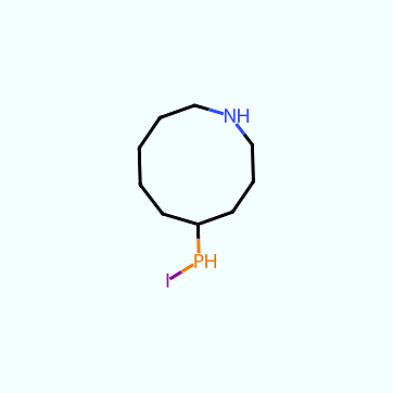 IPC1CCCCCNCCC1